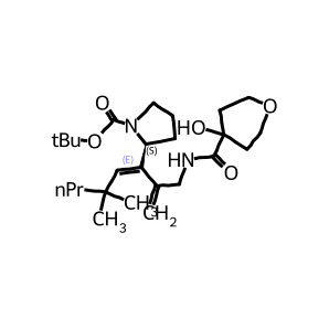 C=C(CNC(=O)C1(O)CCOCC1)/C(=C\C(C)(C)CCC)[C@@H]1CCCN1C(=O)OC(C)(C)C